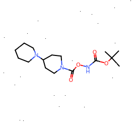 CC(C)(C)OC(=O)NOC(=O)N1CCC(N2CCCCC2)CC1